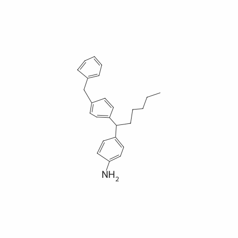 CCCCCC(c1ccc(N)cc1)c1ccc(Cc2ccccc2)cc1